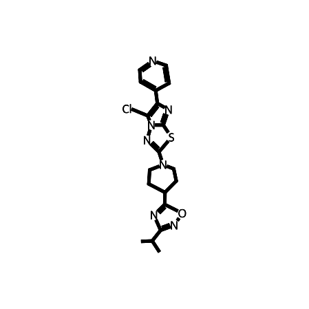 CC(C)c1noc(C2CCN(c3nn4c(Cl)c(-c5ccncc5)nc4s3)CC2)n1